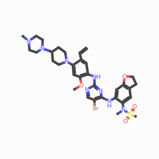 C=Cc1cc(Nc2ncc(Br)c(Nc3cc4c(cc3N(C)S(C)(=O)=O)CCO4)n2)c(OC)cc1N1CCC(N2CCN(C)CC2)CC1